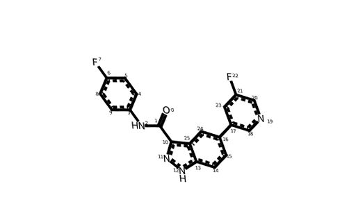 O=C(Nc1ccc(F)cc1)c1n[nH]c2ccc(-c3cncc(F)c3)cc12